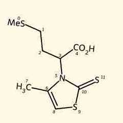 CSCCC(C(=O)O)n1c(C)csc1=S